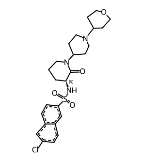 O=C1[C@@H](NS(=O)(=O)c2ccc3cc(Cl)ccc3c2)CCCN1C1CCN(C2CCOCC2)CC1